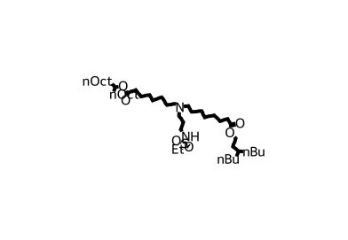 CCCCCCCCC(CCCCCCCC)OC(=O)CCCCCCCN(CCCCCCCC(=O)OCCC(CCCC)CCCC)CCCNS(=O)(=O)CC